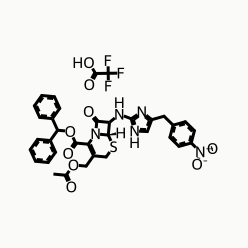 CC(=O)OCC1=C(C(=O)OC(c2ccccc2)c2ccccc2)N2C(=O)C(Nc3nc(Cc4ccc([N+](=O)[O-])cc4)c[nH]3)[C@@H]2SC1.O=C(O)C(F)(F)F